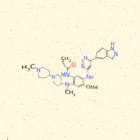 C=CC(=O)Nc1cc(Nc2cc(-c3ccc4[nH]ncc4c3)ncn2)c(OC)cc1N(C)C1CCN(C2CCN(C)CC2)CC1